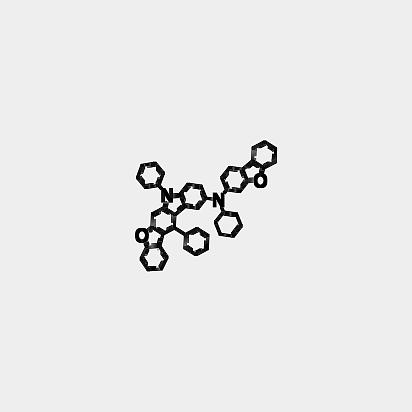 C1=CCCC(N(c2ccc3c(c2)oc2ccccc23)c2ccc3c(c2)c2c(-c4ccccc4)c4c(cc2n3-c2ccccc2)oc2ccccc24)=C1